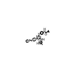 Cc1cc(Nc2nc(Sc3ccc(NC(=O)C4CC4)cc3)nc(N3CCN(CCN4CCCC4)CC3)n2)n[nH]1